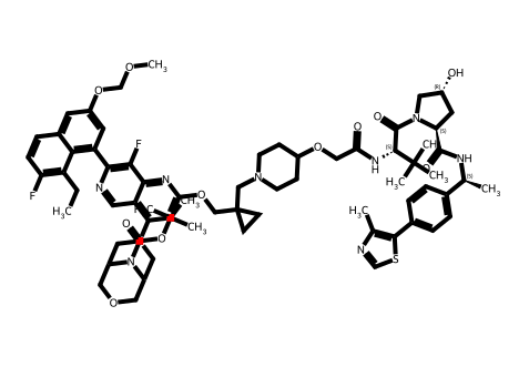 CCc1c(F)ccc2cc(OCOC)cc(-c3ncc4c(N5CC6COCC(C5)N6C(=O)OC(C)(C)C)nc(OCC5(CN6CCC(OCC(=O)N[C@H](C(=O)N7C[C@H](O)C[C@H]7C(=O)N[C@@H](C)c7ccc(-c8scnc8C)cc7)C(C)(C)C)CC6)CC5)nc4c3F)c12